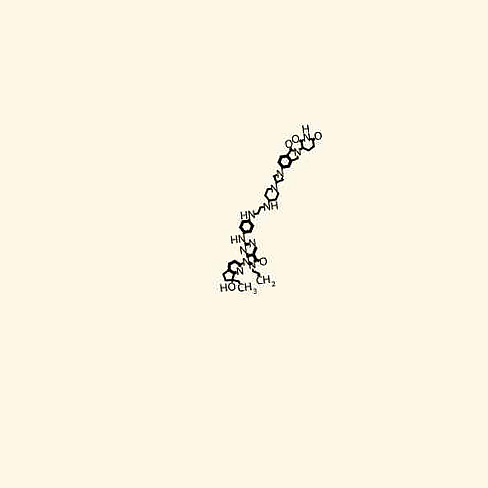 C=CCn1c(=O)c2cnc(Nc3ccc(NCCNC4CCN(C5CN(c6ccc7c(c6)CN(C6CCC(=O)NC6=O)C7=O)C5)CC4)cc3)nc2n1-c1ccc2c(n1)[C@](O)(CC)CC2